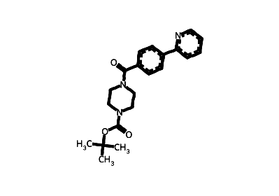 CC(C)(C)OC(=O)N1CCN(C(=O)c2ccc(-c3ccccn3)cc2)CC1